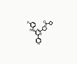 O=C(C1CCC1)N1CCC(c2nc(Nc3cccc(F)c3)cc(-c3ccncc3)n2)C1